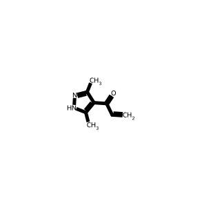 C=CC(=O)c1c(C)n[nH]c1C